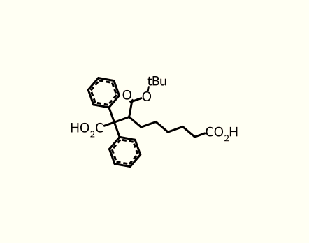 CC(C)(C)OC(=O)C(CCCCCC(=O)O)C(C(=O)O)(c1ccccc1)c1ccccc1